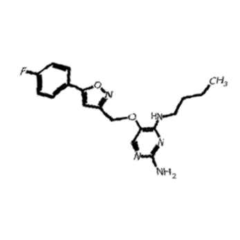 CCCCNc1nc(N)ncc1OCc1cc(-c2ccc(F)cc2)on1